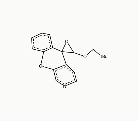 CC(C)(C)COC1OC12c1ccccc1Oc1cnccc12